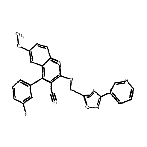 COc1ccc2nc(OCc3nc(-c4cccnc4)no3)c(C#N)c(-c3cccc(F)c3)c2c1